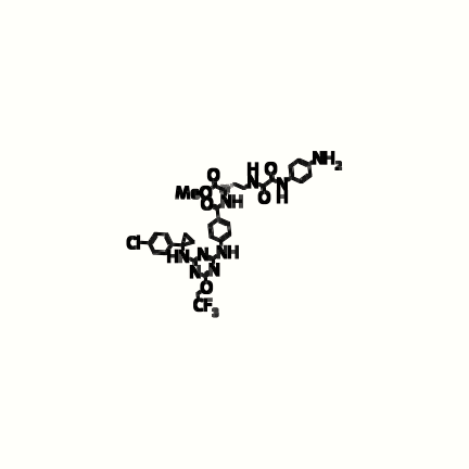 COC(=O)[C@H](CCNC(=O)C(=O)Nc1ccc(N)cc1)NC(=O)c1ccc(Nc2nc(NC3(c4ccc(Cl)cc4)CC3)nc(OCC(F)(F)F)n2)cc1